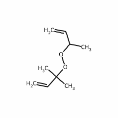 C=CC(C)OOC(C)(C)C=C